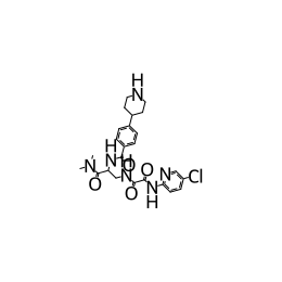 CN(C)C(=O)C(CNC(=O)C(=O)Nc1ccc(Cl)cn1)NC(=O)c1ccc(C2CCNCC2)cc1